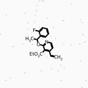 C=Cc1ccnc(OC(C)c2ccccc2F)c1C(=O)OCC